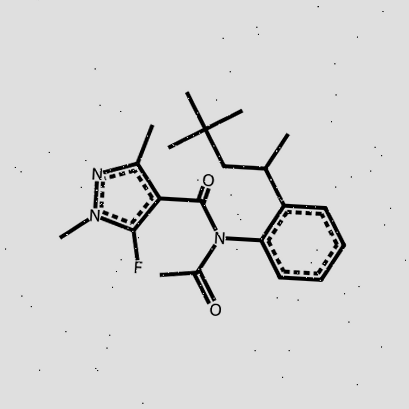 CC(=O)N(C(=O)c1c(C)nn(C)c1F)c1ccccc1C(C)CC(C)(C)C